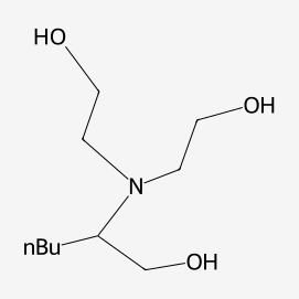 CCCCC(CO)N(CCO)CCO